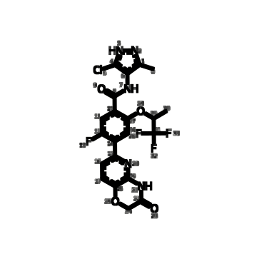 Cc1n[nH]c(Cl)c1NC(=O)c1cc(F)c(-c2ccc3c(n2)NC(=O)CO3)cc1OC(C)C(F)(F)F